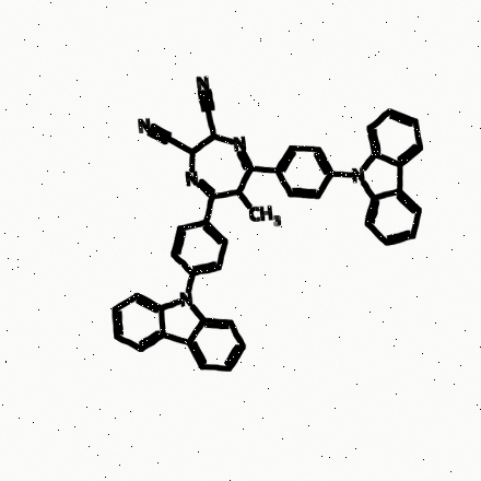 CC1C(c2ccc(-n3c4ccccc4c4ccccc43)cc2)=NC(C#N)C(C#N)N=C1c1ccc(-n2c3ccccc3c3ccccc32)cc1